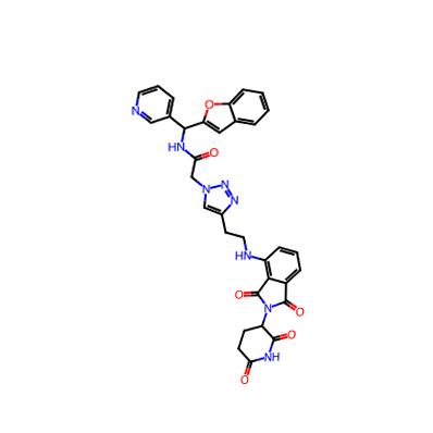 O=C1CCC(N2C(=O)c3cccc(NCCc4cn(CC(=O)NC(c5cccnc5)c5cc6ccccc6o5)nn4)c3C2=O)C(=O)N1